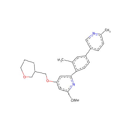 COc1cc(OCC2CCCOC2)cc(-c2ccc(-c3ccc(C)nc3)cc2C)n1